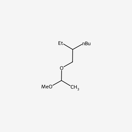 CCCCC(CC)COC(C)OC